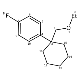 CCOCC1(c2ccc(F)cc2)CCCCC1